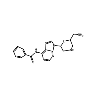 NCC1CNCC(n2cnc3c(NC(=O)c4ccccc4)ncnc32)O1